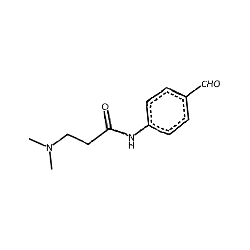 CN(C)CCC(=O)Nc1ccc(C=O)cc1